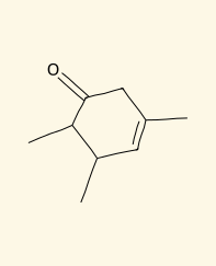 CC1=CC(C)C(C)C(=O)C1